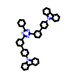 c1ccc(-c2nc(-c3cccc(-c4ccc(-n5c6ccccc6c6ccccc65)cc4)c3)nc(-c3cccc(-c4ccc(-n5c6ccccc6c6ccccc65)cc4)c3)n2)cc1